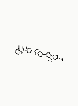 CC1(C)c2cc(C#N)ccc2-c2ccc(-c3ccc4cc(-c5ccc(C(=N)/N=c6/cccc[nH]6)cc5)ccc4c3)cc21